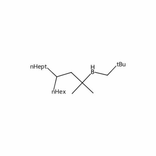 CCCCCCCC(CCCCCC)CC(C)(C)BCC(C)(C)C